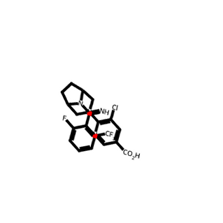 N=C(c1c(F)cccc1C(F)(F)F)N1C2CCC1CN(c1ncc(C(=O)O)cc1Cl)C2